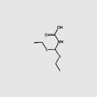 CCSC(NC(=O)O)SCC